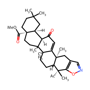 COC(=O)[C@]12CCC(C)(C)C[C@H]1[C@H]1C(=O)C=C3[C@@]4(C)Cc5cnoc5[C@](C)(C(C)=O)[C@@H]4CC[C@@]3(C)[C@]1(C)CC2